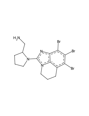 NCC1CCCN1c1nc2c(Br)c(Br)c(Br)c3c2n1CCC3